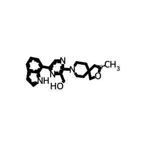 C[C@H]1CC2(CCN(c3ncc(-c4cccc5cc[nH]c45)nc3CO)CC2)CO1